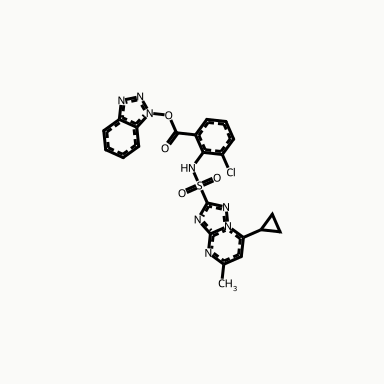 Cc1cc(C2CC2)n2nc(S(=O)(=O)Nc3c(Cl)cccc3C(=O)On3nnc4ccccc43)nc2n1